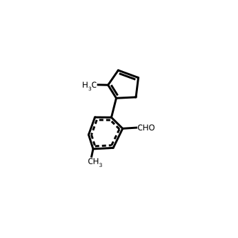 CC1=C(c2ccc(C)cc2C=O)CC=C1